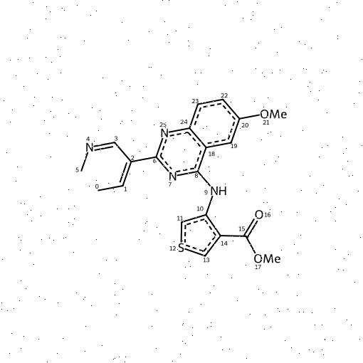 C/C=C(\C=N/C)c1nc(Nc2cscc2C(=O)OC)c2cc(OC)ccc2n1